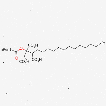 CCCCCC(=O)OC(CC(=O)O)(C(=O)O)C(CCCCCCCCCCCCC(C)C)C(=O)O